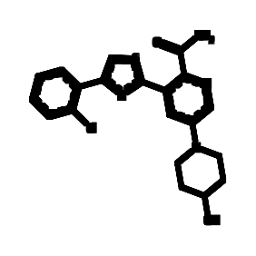 NC(=O)c1ncc(N2CCC(O)CC2)cc1-c1nc(-c2ccccc2Cl)cs1